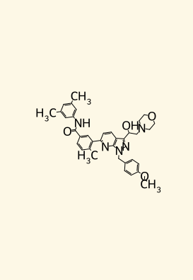 COc1ccc(Cn2nc(C(O)CN3CCOCC3)c3ccc(-c4cc(C(=O)Nc5cc(C)cc(C)c5)ccc4C)nc32)cc1